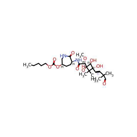 CCCCCOC(=O)O[C@@H]1CC[C@H](NC(=O)[C@H](OC)[C@]2(O)[C@@H](O)[C@@](O)(/C=C/C(C)(C)C=O)C2(C)C)C(=O)NC1